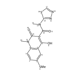 CSc1ccc2c(c1)c(O)c(C(=O)N(C)c1nncs1)c(=O)n2C